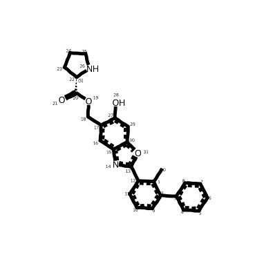 Cc1c(-c2ccccc2)cccc1-c1nc2cc(COC(=O)[C@@H]3CCCN3)c(O)cc2o1